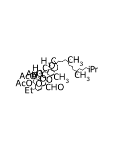 CCC(/C=C\C=C(/C=O)C(=O)Oc1c(C)c(C)c2c(c1C)CC[C@@](C)(CCC[C@H](C)CCC[C@H](C)CCCC(C)C)O2)C1OC(COC(C)=O)C(OC(C)=O)C1OC(C)=O